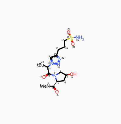 CNC(=O)[C@H]1CC(O)CN1C(=O)C(n1cc(CCCS(N)(=O)=O)nn1)C(C)(C)C